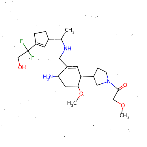 COCC(=O)N1CCC(C2C=C(CNC(C)C3C=C(C(F)(F)CO)CC3)C(N)CC2OC)C1